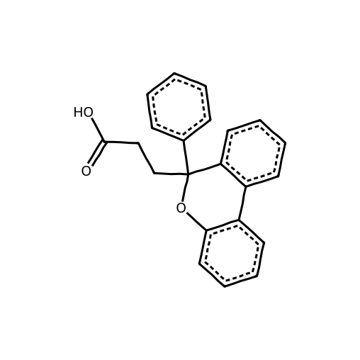 O=C(O)CCC1(c2ccccc2)Oc2ccccc2-c2ccccc21